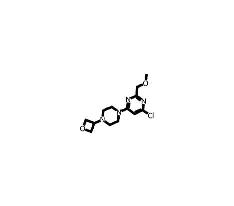 COCc1nc(Cl)cc(N2CCN(C3COC3)CC2)n1